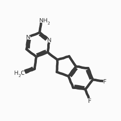 C=Cc1cnc(N)nc1C1Cc2cc(F)c(F)cc2C1